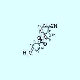 Cc1ccc(S(=O)(=O)n2ccc3c(C#N)ncnc32)cc1